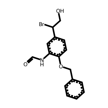 O=CNc1cc(C(Br)CO)ccc1OCc1ccccc1